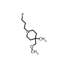 COCC1(C)CCN(CCCF)CC1